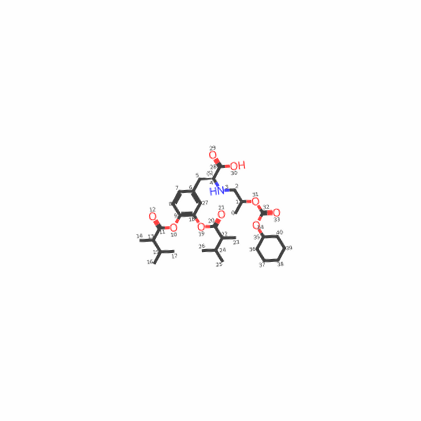 CC(CN[C@@H](Cc1ccc(OC(=O)C(C)C(C)C)c(OC(=O)C(C)C(C)C)c1)C(=O)O)OC(=O)OC1CCCCC1